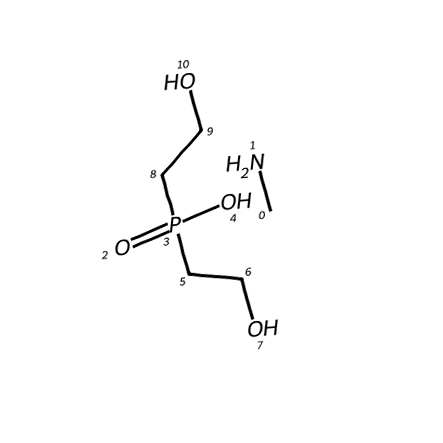 CN.O=P(O)(CCO)CCO